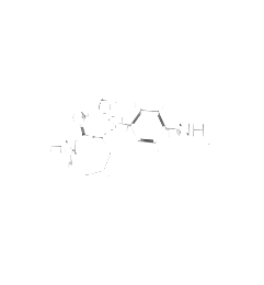 Nc1ccc([S+]([O-])C2CCCCNC2=O)cc1